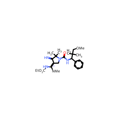 CCOC(=O)N/C(NC)=C1/CN(C(=O)NC(c2ccccc2)C(C)(C)COC)C(C)(C)C1=N